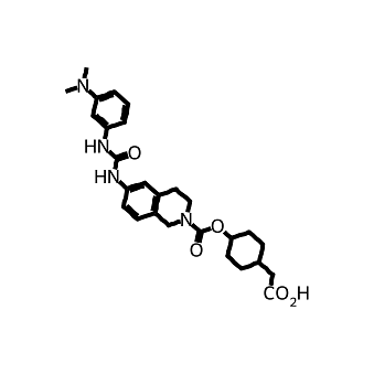 CN(C)c1cccc(NC(=O)Nc2ccc3c(c2)CCN(C(=O)OC2CCC(CC(=O)O)CC2)C3)c1